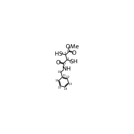 COC(=O)C(S)C(S)C(=O)NCc1ccccc1